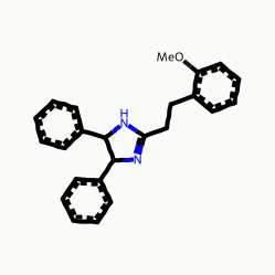 COc1ccccc1CCC1=NC(c2ccccc2)C(c2ccccc2)N1